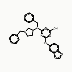 Oc1nc(Nc2ccc3ncsc3c2)nc(N(Cc2ccccc2)C2CCN(Cc3ccccc3)C2)n1